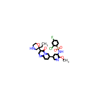 CCC1(c2cnc3ccc(-c4cnc(OC)c(NS(=O)(=O)c5ccc(F)cc5Cl)c4)cn3c2=O)CNCCO1